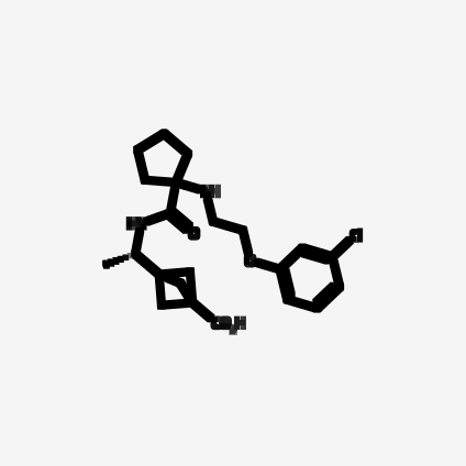 C[C@H](NC(=O)C1(NCCOc2cccc(Cl)c2)CCCC1)C12CC(C(=O)O)(C1)C2